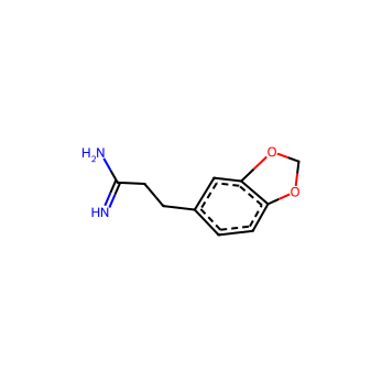 N=C(N)CCc1ccc2c(c1)OCO2